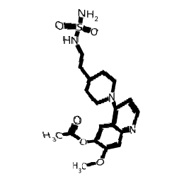 COc1cc2nccc(N3CCC(CCNS(N)(=O)=O)CC3)c2cc1OC(C)=O